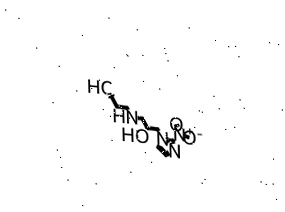 C#CCCNCC(O)Cn1ccnc1[N+](=O)[O-]